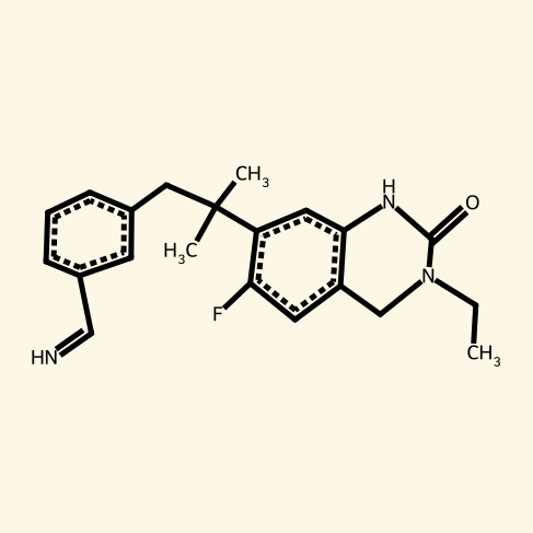 CCN1Cc2cc(F)c(C(C)(C)Cc3cccc(C=N)c3)cc2NC1=O